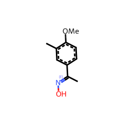 COc1ccc(/C(C)=N/O)cc1C